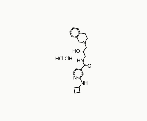 Cl.Cl.O=C(NC[C@H](O)CN1CCc2ccccc2C1)c1ccnc(NC2CCC2)c1